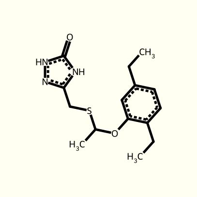 CCc1ccc(CC)c(OC(C)SCc2n[nH]c(=O)[nH]2)c1